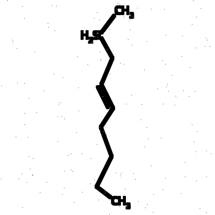 CCCCC=CC[SiH2]C